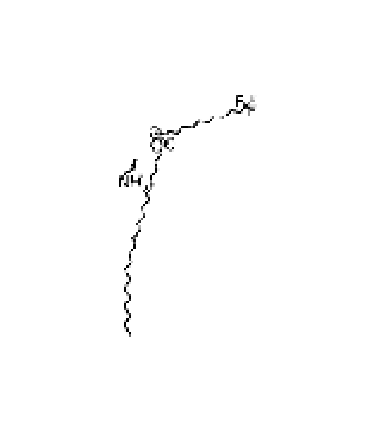 C=CCN.CCCCCCCCCCCCCCCCCCCCCCCOS(=O)(=O)CCCCCCCCCCC(F)(F)F